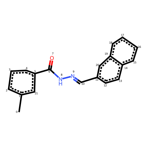 Cc1cccc(C(=O)NN=Cc2ccc3ccccc3c2)c1